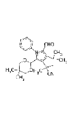 CC1(C)COC(c2c3c(c(C=O)n2-c2ccccc2)C(C)(C)CC3(C)C#N)OC1